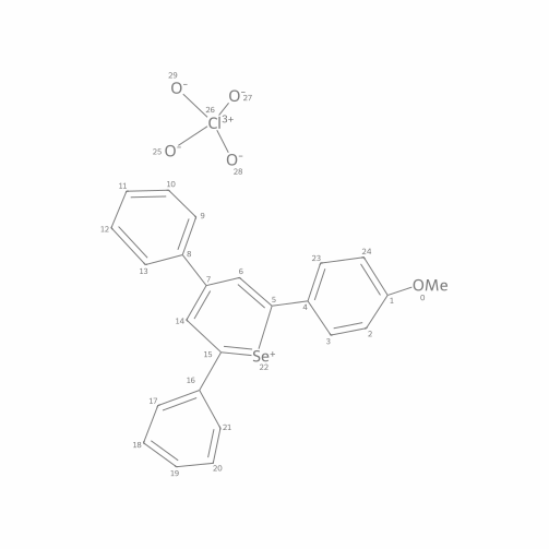 COc1ccc(-c2cc(-c3ccccc3)cc(-c3ccccc3)[se+]2)cc1.[O-][Cl+3]([O-])([O-])[O-]